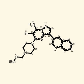 CC(C)(C)OCN1CCN(c2nc3c(-c4cnc5ccccc5c4)cnn3c(N)c2Br)CC1